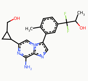 Cc1ccc(C(F)(F)C(C)O)cc1-c1cnc2c(N)nc(C3CC3CO)cn12